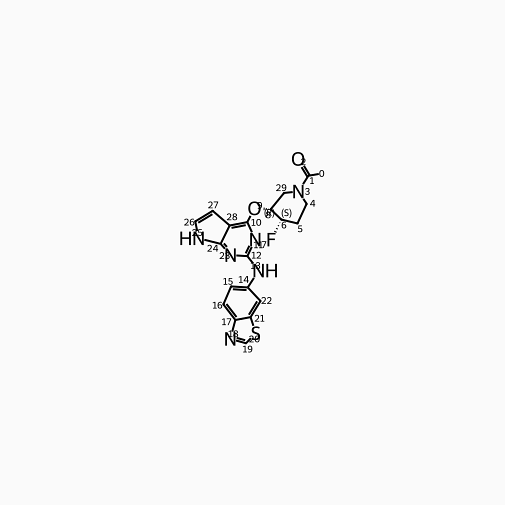 CC(=O)N1CC[C@H](F)[C@H](Oc2nc(Nc3ccc4ncsc4c3)nc3[nH]ccc23)C1